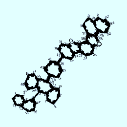 c1ccc2c(-c3c4ccccc4c(-c4ccc(-c5ccc6oc7c(ccc8oc9c%10ccccc%10ccc9c87)c6c5)cc4)c4ccccc34)cccc2c1